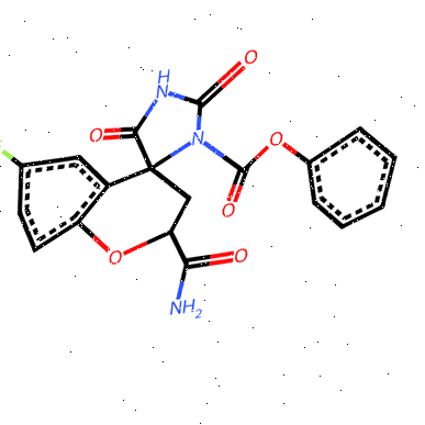 NC(=O)C1CC2(C(=O)NC(=O)N2C(=O)Oc2ccccc2)c2cc(F)ccc2O1